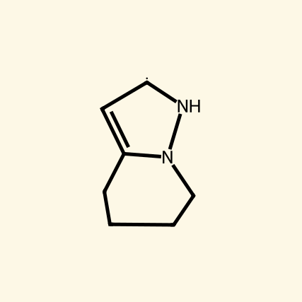 [CH]1C=C2CCCCN2N1